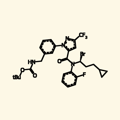 CC(C)(C)OC(=O)NCc1cccc(-n2nc(C(F)(F)F)cc2C(=O)N(c2ccccc2F)[C@@H](Br)CCC2CC2)c1